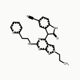 CCCn1cc2c(C3C(=O)Nc4ccc(C#N)cc43)nc(NCCc3ccccn3)nc2n1